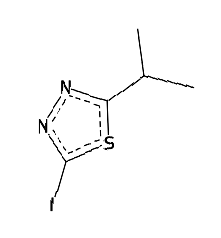 CC(C)c1nnc(I)s1